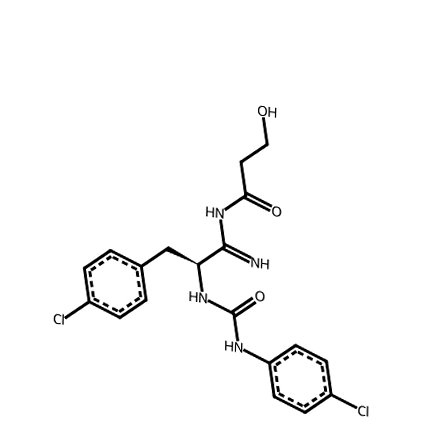 N=C(NC(=O)CCO)[C@H](Cc1ccc(Cl)cc1)NC(=O)Nc1ccc(Cl)cc1